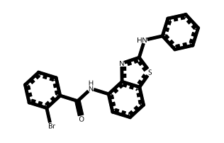 O=C(Nc1cccc2sc(Nc3ccccc3)nc12)c1ccccc1Br